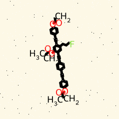 C=CC(=O)Oc1ccc(C#Cc2cc(OC(=O)C(=C)C)c(C#Cc3ccc(C#Cc4ccc(OC(=O)C(=C)C)cc4)cc3)cc2CCCF)cc1